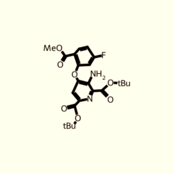 COC(=O)c1ccc(F)cc1Oc1cc(C(=O)OC(C)(C)C)nc(C(=O)OC(C)(C)C)c1N